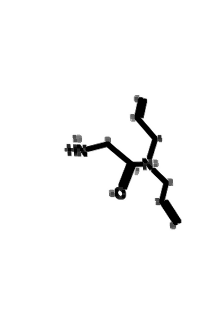 C=CCN(CC=C)C(=O)C[NH]